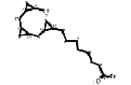 CCC(=O)CCCCCCCC1CC1CC1CC1CC1CC1CC